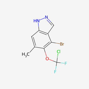 Cc1cc2[nH]ncc2c(Br)c1OC(F)(F)Cl